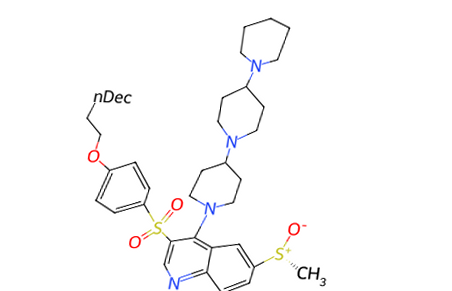 CCCCCCCCCCCCOc1ccc(S(=O)(=O)c2cnc3ccc([S@@+](C)[O-])cc3c2N2CCC(N3CCC(N4CCCCC4)CC3)CC2)cc1